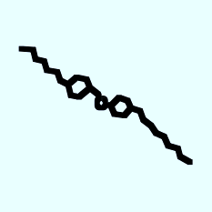 CCCCCCCCCC1CCC(OCC2CCC(CCCCCCC)CC2)CC1